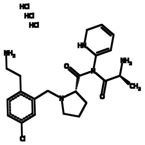 C[C@H](N)C(=O)N(C(=O)[C@@H]1CCCN1Cc1cc(Cl)ccc1CCN)C1=CC=CCN1.Cl.Cl.Cl